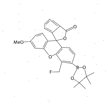 COc1ccc2c(c1)Oc1c(ccc(B3OC(C)(C)C(C)(C)O3)c1CF)C21OC(=O)c2ccccc21